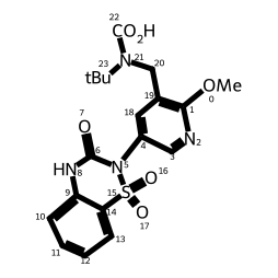 COc1ncc(N2C(=O)Nc3ccccc3S2(=O)=O)cc1CN(C(=O)O)C(C)(C)C